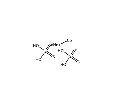 O=S(O)(O)=S.O=S(O)(O)=S.[CH2]CCCC[CH2][Co]